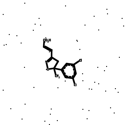 O=C(O)/C=C/C1=NOC(c2cc(Cl)cc(Cl)c2)(C(F)(F)F)C1